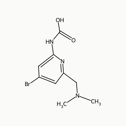 CN(C)Cc1cc(Br)cc(NC(=O)O)n1